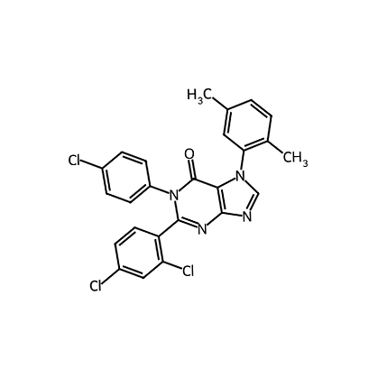 Cc1ccc(C)c(-n2cnc3nc(-c4ccc(Cl)cc4Cl)n(-c4ccc(Cl)cc4)c(=O)c32)c1